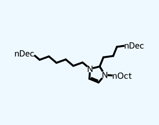 CCCCCCCCCCCCCCCCN1C=CN(CCCCCCCC)C1CCCCCCCCCCCCC